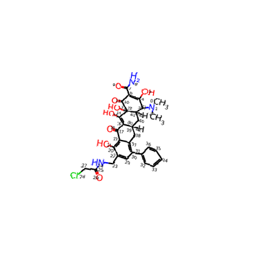 CN(C)[C@@H]1C(O)=C(C(N)=O)C(=O)[C@@]2(O)C(O)=C3C(=O)c4c(O)c(CNC(=O)CCl)cc(-c5ccccc5)c4C[C@H]3C[C@@H]12